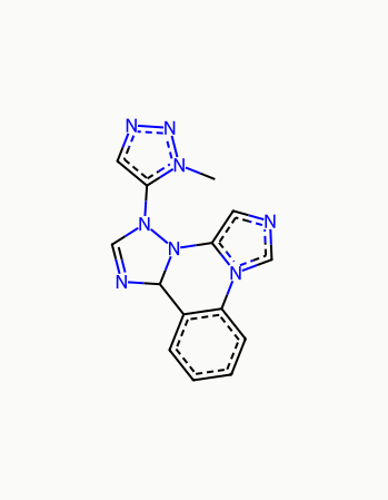 Cn1nncc1N1C=NC2c3ccccc3-n3cncc3N21